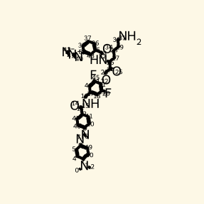 CN(C)c1ccc(N=Nc2ccc(C(=O)NCc3cc(F)c(OCC(=O)C(CCCCN)NC(=O)c4cccc(N=[N+]=[N-])c4)c(F)c3)cc2)cc1